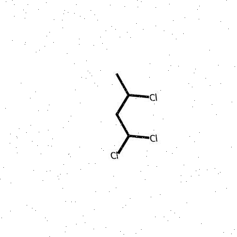 CC(Cl)CC(Cl)Cl